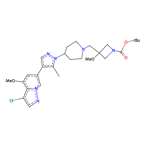 COc1cc(-c2cnn(C3CCN(CC4(OC)CN(C(=O)OC(C)(C)C)C4)CC3)c2C)cn2ncc(Cl)c12